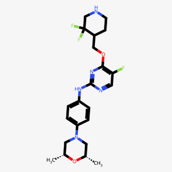 C[C@@H]1CN(c2ccc(Nc3ncc(F)c(OCC4CCNCC4(F)F)n3)cc2)C[C@H](C)O1